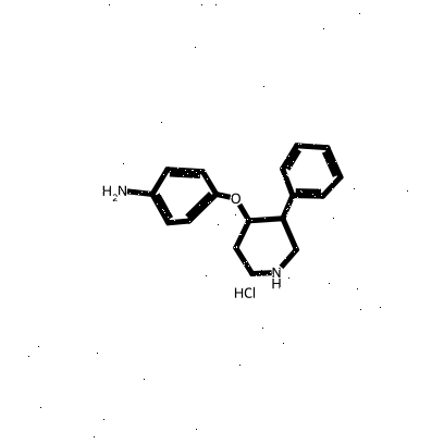 Cl.Nc1ccc(OC2CCNCC2c2ccccc2)cc1